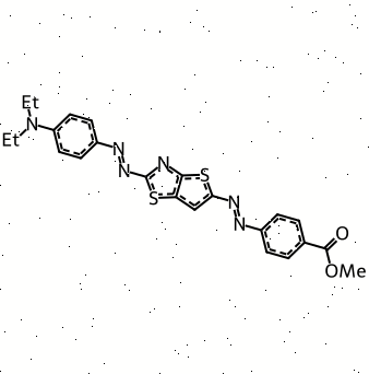 CCN(CC)c1ccc(N=Nc2nc3sc(N=Nc4ccc(C(=O)OC)cc4)cc3s2)cc1